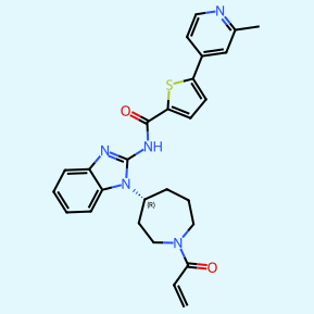 C=CC(=O)N1CCC[C@@H](n2c(NC(=O)c3ccc(-c4ccnc(C)c4)s3)nc3ccccc32)CC1